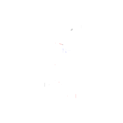 C#CCCC(=O)NCCOCCC(C)OCCO